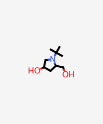 CC(C)(C)N1CC(O)CC1CO